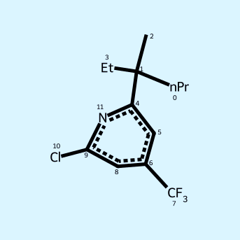 CCCC(C)(CC)c1cc(C(F)(F)F)cc(Cl)n1